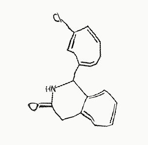 O=C1Cc2ccccc2C(c2cccc(Cl)c2)N1